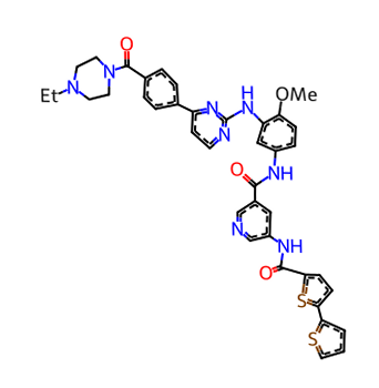 CCN1CCN(C(=O)c2ccc(-c3ccnc(Nc4cc(NC(=O)c5cncc(NC(=O)c6ccc(-c7cccs7)s6)c5)ccc4OC)n3)cc2)CC1